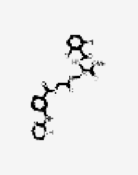 COC(=O)[C@H](CNC(=O)CNC(=O)c1cccc(NC2=NCCCN2)c1)NC(=O)c1c(Cl)cccc1Cl